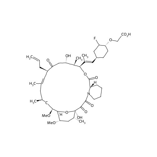 C=CC[C@@H]1/C=C(\C)C[C@H](C)C[C@H](OC)[C@H]2O[C@@](O)(C(=O)C(=O)N3CCCC[C@H]3C(=O)O[C@H](/C(C)=C/[C@@H]3CC[C@@H](OCC(=O)O)C(F)C3)[C@H](C)[C@@H](O)CC1=O)[C@H](C)C[C@@H]2OC